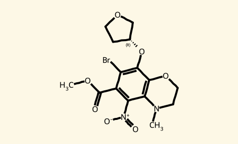 COC(=O)c1c(Br)c(O[C@@H]2CCOC2)c2c(c1[N+](=O)[O-])N(C)CCO2